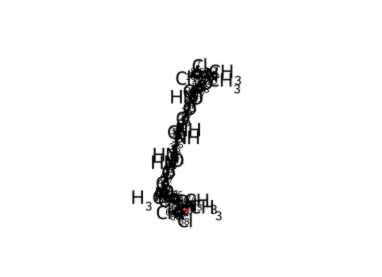 CN(C)[C@H]1Cc2c(Cl)cc(Cl)cc2[C@@H]1Oc1ccc(S(=O)(=O)NCCOCCOCCNC(=O)NCCCCNC(=O)NCCOCCOCCN(C)S(=O)(=O)c2ccc(O[C@H]3c4cc(Cl)cc(Cl)c4C[C@@H]3N(C)C)cc2)cc1